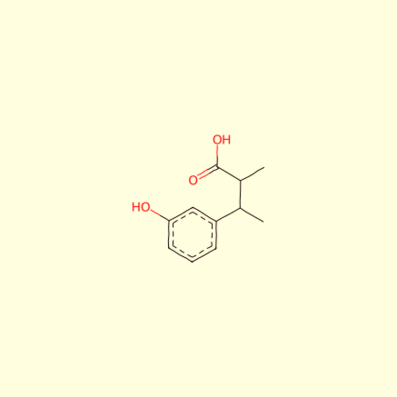 CC(C(=O)O)C(C)c1cccc(O)c1